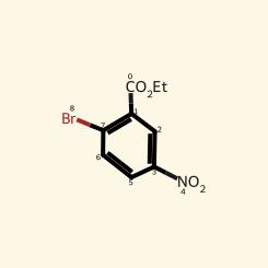 CCOC(=O)c1cc([N+](=O)[O-])ccc1Br